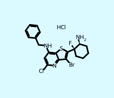 Cl.N[C@H]1CCCC[C@]1(F)c1sc2c(NCc3ccccc3)cc(Cl)nc2c1Br